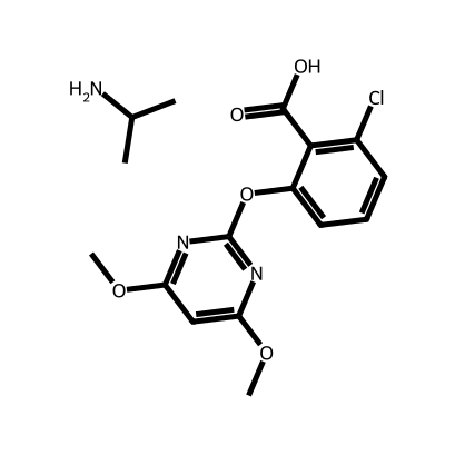 CC(C)N.COc1cc(OC)nc(Oc2cccc(Cl)c2C(=O)O)n1